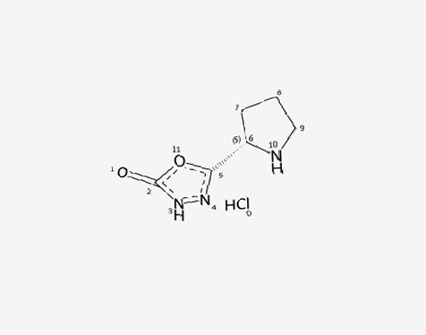 Cl.O=c1[nH]nc([C@@H]2CCCN2)o1